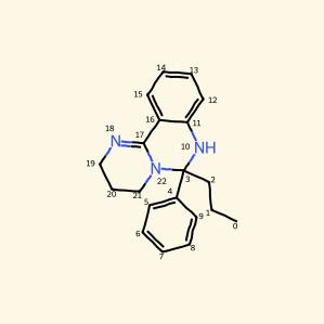 CCCC1(c2ccccc2)Nc2ccccc2C2=NCCCN21